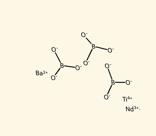 [Ba+2].[Nd+3].[O-]B([O-])[O-].[O-]B([O-])[O-].[O-]B([O-])[O-].[Ti+4]